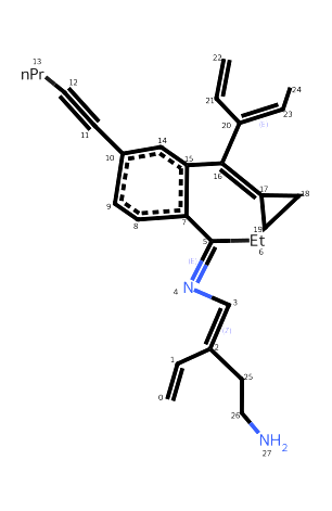 C=C/C(=C\N=C(/CC)c1ccc(C#CCCC)cc1C(=C1CC1)/C(C=C)=C/C)CCN